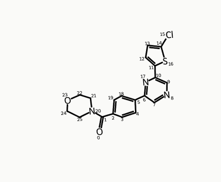 O=C(c1ccc(-c2cncc(-c3ccc(Cl)s3)n2)cc1)N1CCOCC1